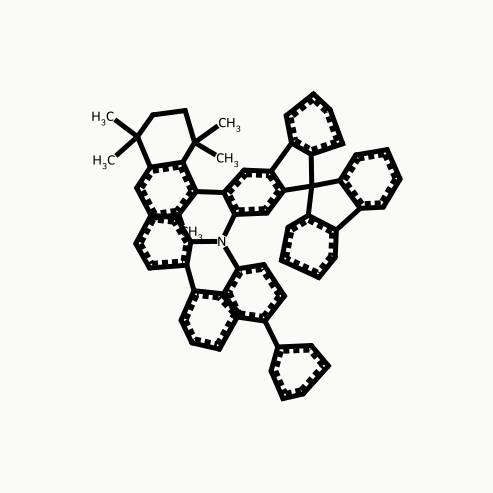 Cc1ccc2c(c1-c1cc3c(cc1N(c1ccc(-c4ccccc4)cc1)c1ccccc1-c1ccccc1)C1(c4ccccc4-c4ccccc41)c1ccccc1-3)C(C)(C)CCC2(C)C